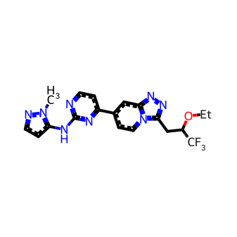 CCOC(Cc1nnc2cc(-c3ccnc(Nc4ccnn4C)n3)ccn12)C(F)(F)F